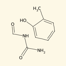 Cc1ccccc1O.NC(=O)NC=O